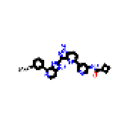 COc1cccc(-c2nccc3[nH]c(-c4n[nH]c5ccc(-c6cncc(NC(=O)C7CCC7)c6)nc45)nc23)c1